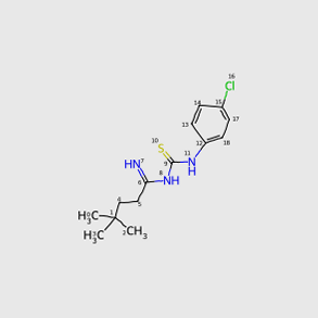 CC(C)(C)CCC(=N)NC(=S)Nc1ccc(Cl)cc1